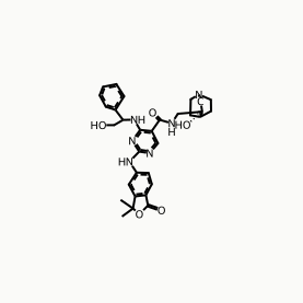 CC1(C)OC(=O)c2ccc(Nc3ncc(C(=O)NC[C@@]4(O)CN5CCC4CC5)c(NC(CO)c4ccccc4)n3)cc21